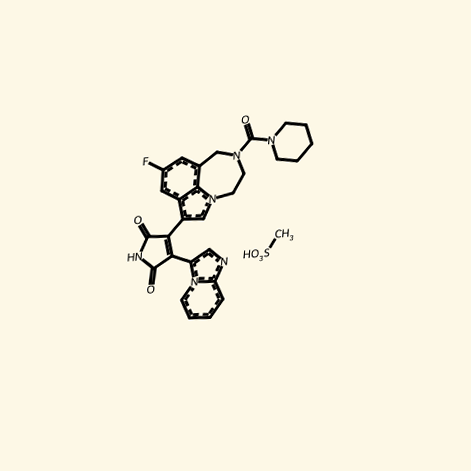 CS(=O)(=O)O.O=C1NC(=O)C(c2cnc3ccccn23)=C1c1cn2c3c(cc(F)cc13)CN(C(=O)N1CCCCC1)CC2